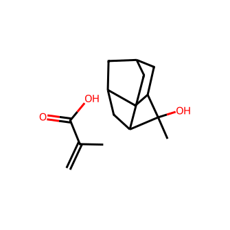 C=C(C)C(=O)O.CC1(O)C2CC3CC(C2)CC1C3